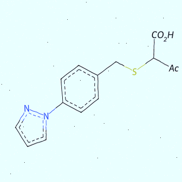 CC(=O)C(SCc1ccc(-n2cccn2)cc1)C(=O)O